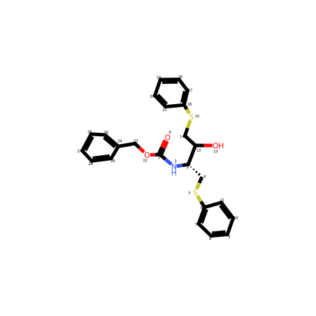 O=C(N[C@@H](CSc1ccccc1)C(O)CSc1ccccc1)OCc1ccccc1